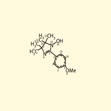 COc1ccc(C2=NC(C)(C)C(C)(C)N2O)cc1